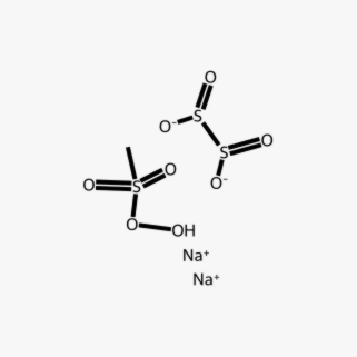 CS(=O)(=O)OO.O=S([O-])S(=O)[O-].[Na+].[Na+]